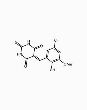 COc1cc(Cl)cc(C=C2C(=O)NC(=S)NC2=O)c1O